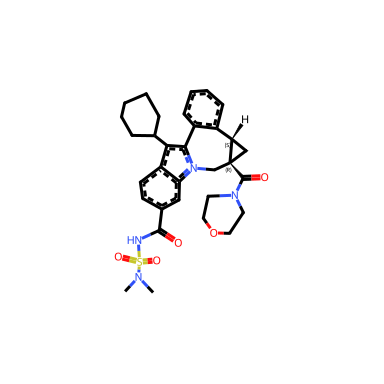 CN(C)S(=O)(=O)NC(=O)c1ccc2c(C3CCCCC3)c3n(c2c1)C[C@@]1(C(=O)N2CCOCC2)C[C@H]1c1ccccc1-3